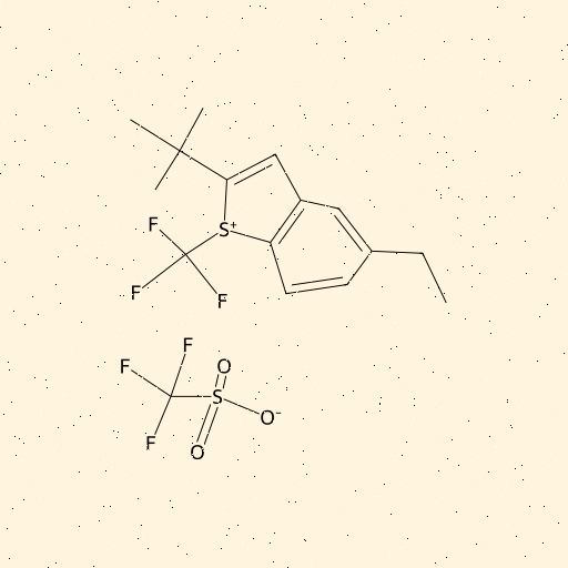 CCc1ccc2c(c1)cc(C(C)(C)C)[s+]2C(F)(F)F.O=S(=O)([O-])C(F)(F)F